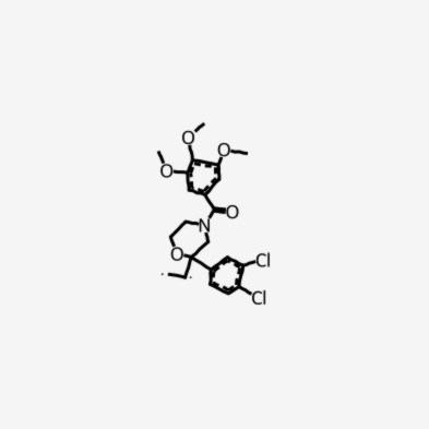 [CH2][CH]C1(c2ccc(Cl)c(Cl)c2)CN(C(=O)c2cc(OC)c(OC)c(OC)c2)CCO1